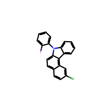 Brc1ccc2ccc3c(c2c1)c1ccccc1n3-c1ccccc1I